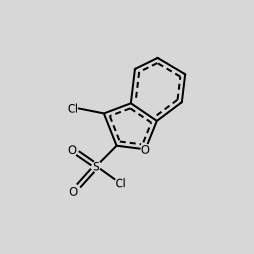 O=S(=O)(Cl)c1oc2ccccc2c1Cl